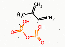 C=CC(=C)C.O=[PH](O)O[PH](=O)O